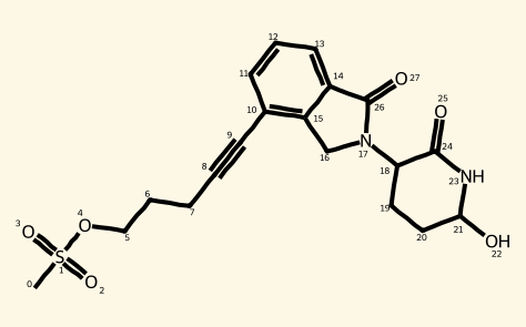 CS(=O)(=O)OCCCC#Cc1cccc2c1CN(C1CCC(O)NC1=O)C2=O